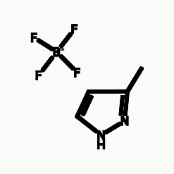 Cc1cc[nH]n1.F[B-](F)(F)F